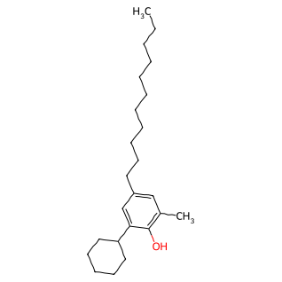 CCCCCCCCCCCc1cc(C)c(O)c(C2CCCCC2)c1